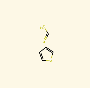 S=CS.c1ccsc1